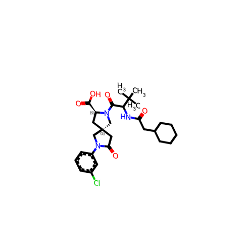 CC(C)(C)C(NC(=O)CC1CCCCC1)C(=O)N1C[C@@]2(CC(=O)N(c3cccc(Cl)c3)C2)C[C@H]1C(=O)O